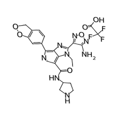 CCn1c(-c2nonc2N)nc2c(-c3ccc4c(c3)OOC4)ncc(C(=O)NC3CCNC3)c21.O=C(O)C(F)(F)F